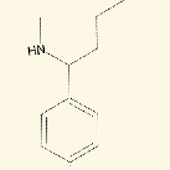 CCCC(NC)c1cc[c]cc1